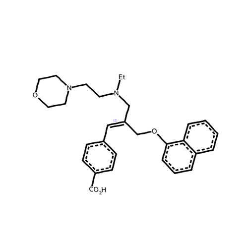 CCN(CCN1CCOCC1)C/C(=C/c1ccc(C(=O)O)cc1)COc1cccc2ccccc12